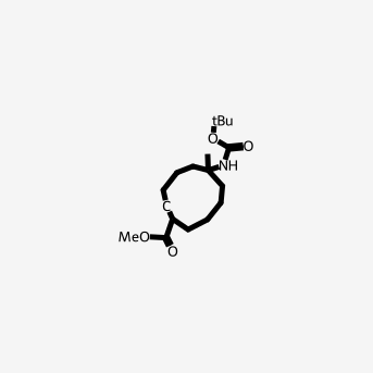 COC(=O)C1CCCCC(C)(NC(=O)OC(C)(C)C)CCCC1